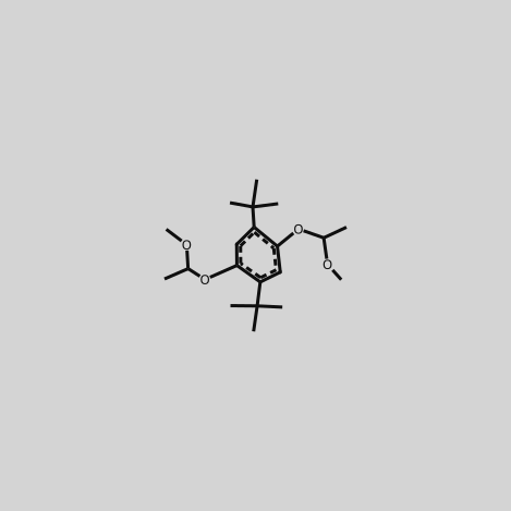 COC(C)Oc1cc(C(C)(C)C)c(OC(C)OC)cc1C(C)(C)C